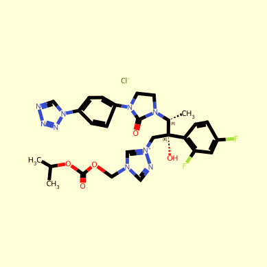 CC(C)OC(=O)OCn1cn[n+](C[C@](O)(c2ccc(F)cc2F)[C@@H](C)N2CCN(c3ccc(-n4cnnn4)cc3)C2=O)c1.[Cl-]